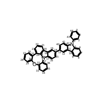 c1ccc(-n2c3ccccc3c3cc(-c4ccc5c(c4)c4cccc6c7ccccc7oc7ccccc7n5c64)ccc32)cc1